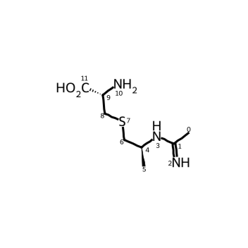 CC(=N)N[C@@H](C)CSC[C@@H](N)C(=O)O